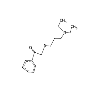 CCN(CC)CCCSCC(=O)c1ccccc1